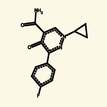 NC(=O)c1cn(C2CC2)nc(-c2ccc(F)cc2)c1=O